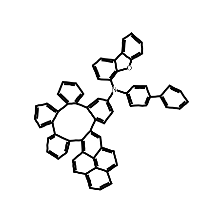 c1ccc(-c2ccc(N(c3ccc4c(c3)c3ccccc3c3ccccc3c3ccccc3c3c4cc4ccc5cccc6ccc3c4c56)c3cccc4c3oc3ccccc34)cc2)cc1